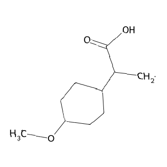 [CH2]C(C(=O)O)C1CCC(OC)CC1